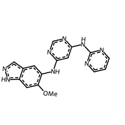 COc1cc2[nH]ncc2cc1Nc1cc(Nc2ncccn2)ncn1